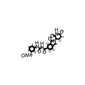 COc1cccc(NC(=O)NC(=O)c2ccc3c(c2)C(=O)N(C2CCC(=O)NC2=O)C3)c1